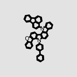 c1ccc(-c2ccc(-n3c4ccc5c6ccccc6n(-c6ccc7c8c(cccc68)-c6ccccc6-7)c5c4c4ccc5oc6ccccc6c5c43)cc2)cc1